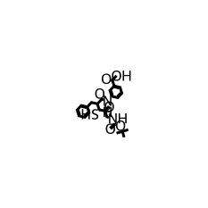 CC(C)(C)OC(=O)NCC(=O)C(S)C(Cc1ccccc1)C(=O)Nc1cccc(C(=O)O)c1